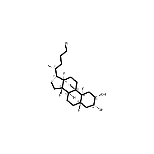 CC(C)CCC[C@@H](C)[C@H]1CC[C@H]2[C@@H]3CC[C@H]4C[C@@H](O)[C@@H](O)C[C@]4(C)[C@H]3CC[C@]12C